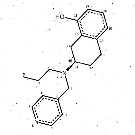 CCCN(Cc1ccncc1)[C@@H]1CCc2cccc(O)c2C1